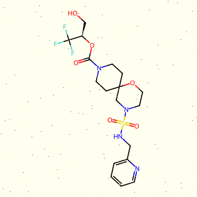 O=C(O[C@H](CO)C(F)(F)F)N1CCC2(CC1)CN(S(=O)(=O)NCc1ccccn1)CCO2